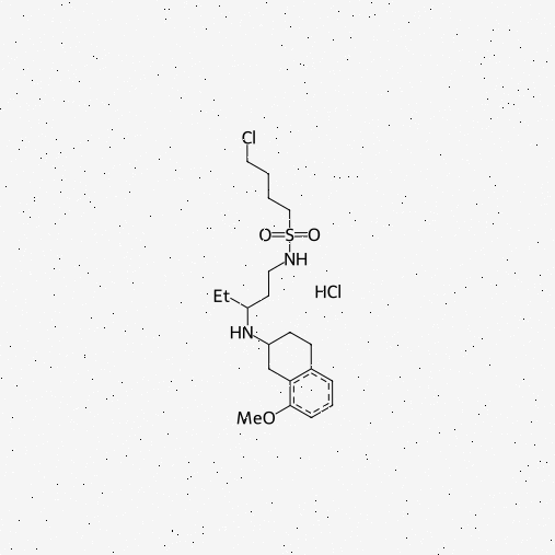 CCC(CCNS(=O)(=O)CCCCCl)NC1CCc2cccc(OC)c2C1.Cl